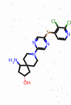 NC1C[C@@H](O)CC12CCN(c1cnc(Sc3ccnc(Cl)c3Cl)cn1)CC2